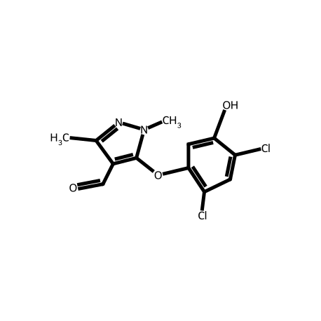 Cc1nn(C)c(Oc2cc(O)c(Cl)cc2Cl)c1C=O